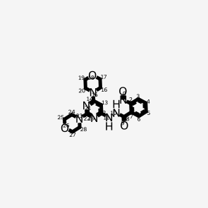 O=Nc1ccccc1C(=O)NNc1cc(N2CCOCC2)nc(N2CCOCC2)n1